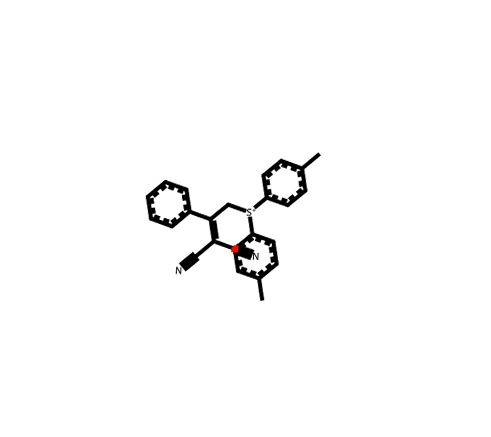 Cc1ccc([S+](CC(=C(C#N)C#N)c2ccccc2)c2ccc(C)cc2)cc1